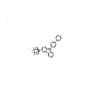 CC1(C)OB(c2ccc3c(c2)c2ccccc2n3-c2ccc(-c3ccccc3)cc2)OC1(C)C